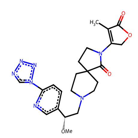 CO[C@@H](CN1CCC2(CC1)CCN(C1=C(C)C(=O)OC1)C2=O)c1ccc(-n2cnnn2)nc1